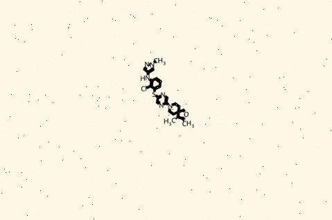 C[C@@H]1OCC2(CCN(c3cnc(Sc4cccc(Nc5cnn(C)c5)c4Cl)cn3)CC2)[C@@H]1C